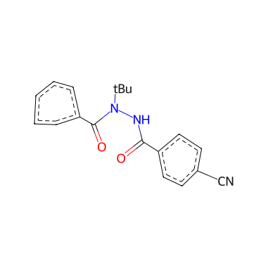 CC(C)(C)N(NC(=O)c1ccc(C#N)cc1)C(=O)c1ccccc1